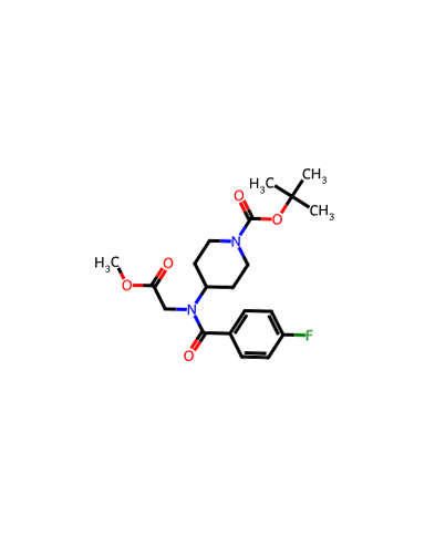 COC(=O)CN(C(=O)c1ccc(F)cc1)C1CCN(C(=O)OC(C)(C)C)CC1